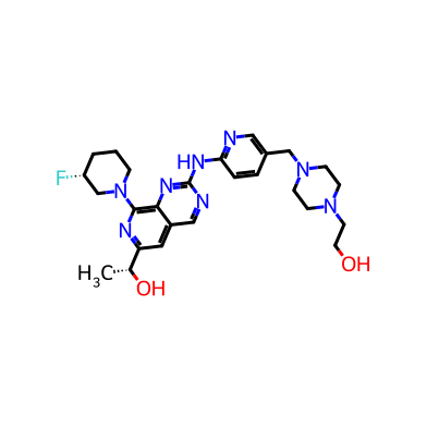 C[C@@H](O)c1cc2cnc(Nc3ccc(CN4CCN(CCO)CC4)cn3)nc2c(N2CCC[C@@H](F)C2)n1